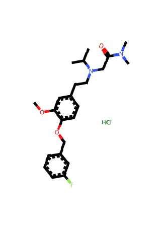 COc1cc(CCN(CC(=O)N(C)C)C(C)C)ccc1OCc1cccc(F)c1.Cl